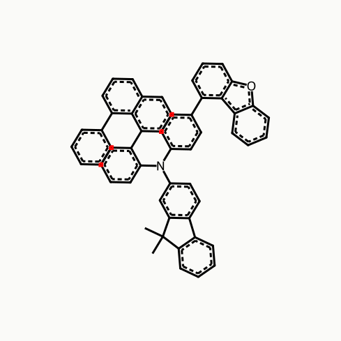 CC1(C)c2ccccc2-c2ccc(N(c3ccc(-c4cccc5oc6ccccc6c45)cc3)c3ccccc3-c3cccc4cccc(-c5ccccc5)c34)cc21